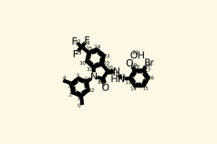 Cc1cc(C)cc(N2C(=O)/C(=N\Nc3cccc(Br)c3OO)c3ccc(C(F)(F)F)cc32)c1